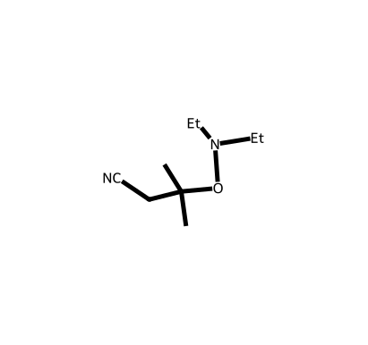 CCN(CC)OC(C)(C)CC#N